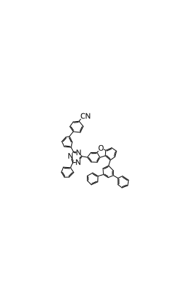 N#Cc1ccc(-c2cccc(-c3nc(-c4ccccc4)nc(-c4ccc5c(c4)oc4cccc(-c6cc(-c7ccccc7)cc(-c7ccccc7)c6)c45)n3)c2)cc1